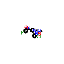 CCN1CC(N2CCC(c3noc4cc(F)ccc34)CC2)N(c2ccccc2Cl)C1=O